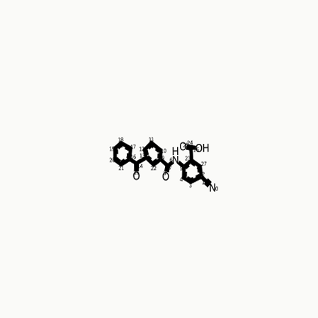 N#Cc1ccc(NC(=O)c2cccc(C(=O)c3ccccc3)c2)c(C(=O)O)c1